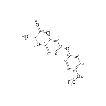 CC(Oc1ccc(Oc2ccc(OC(F)(F)F)cc2)cc1)C(=O)Cl